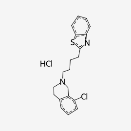 Cl.Clc1cccc2c1CN(CCCCc1nc3ccccc3s1)CC2